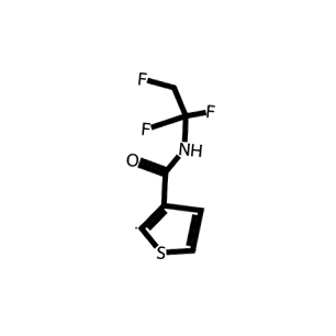 O=C(NC(F)(F)CF)c1[c]scc1